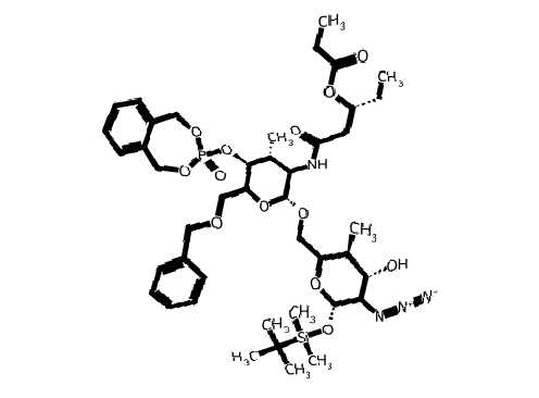 CCC(=O)O[C@H](CC)CC(=O)NC1[C@H](OCC2O[C@@H](O[Si](C)(C)C(C)(C)C)C(N=[N+]=[N-])[C@@H](O)[C@@H]2C)OC(COCc2ccccc2)[C@@H](OP2(=O)OCc3ccccc3CO2)[C@@H]1C